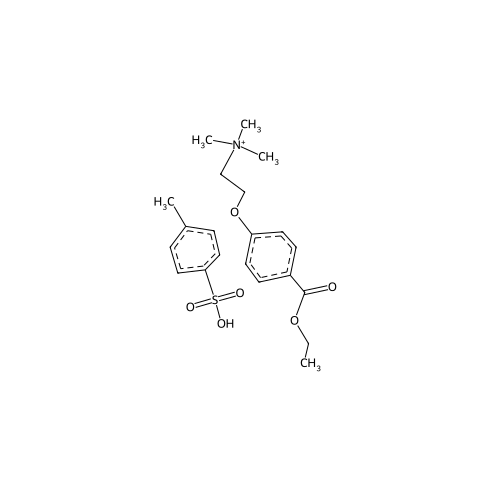 CCOC(=O)c1ccc(OCC[N+](C)(C)C)cc1.Cc1ccc(S(=O)(=O)O)cc1